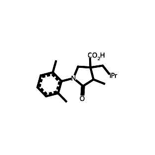 Cc1cccc(C)c1N1CC(CC(C)C)(C(=O)O)C(C)C1=O